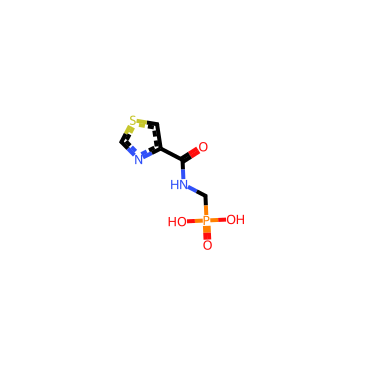 O=C(NCP(=O)(O)O)c1cscn1